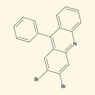 Brc1cc2nc3ccccc3c(-c3ccccc3)c2cc1Br